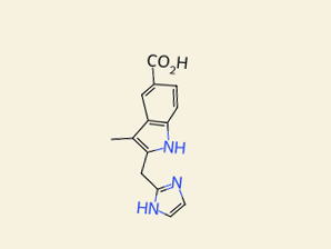 Cc1c(Cc2ncc[nH]2)[nH]c2ccc(C(=O)O)cc12